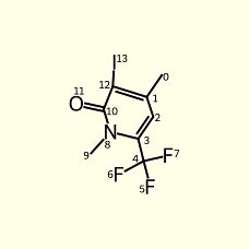 Cc1cc(C(F)(F)F)n(C)c(=O)c1I